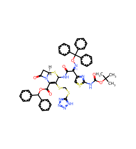 CC(C)(C)OC(=O)Nc1nc(/C(=N/OC(c2ccccc2)(c2ccccc2)c2ccccc2)C(=O)NC2S[C@@H]3CC(=O)N3C(C(=O)OC(c3ccccc3)c3ccccc3)=C2SCSc2nnn[nH]2)cs1